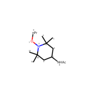 CCCON1C(C)(C)CC(NC(C)=O)CC1(C)C